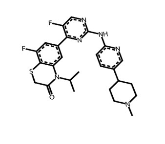 CC(C)N1C(=O)CSc2c(F)cc(-c3nc(Nc4ccc(C5CCN(C)CC5)cn4)ncc3F)cc21